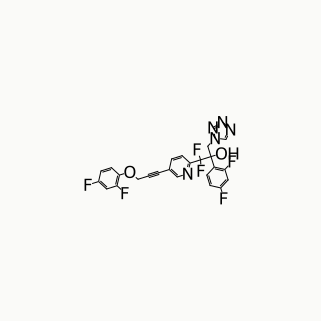 OC(Cn1cnnn1)(c1ccc(F)cc1F)C(F)(F)c1ccc(C#CCOc2ccc(F)cc2F)cn1